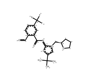 CC(C)(C)c1cn(C[C@H]2CCCO2)c(=NC(=O)c2cc(C(F)(F)F)ccc2C=O)s1